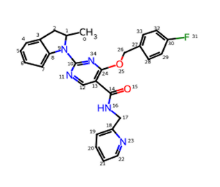 CC1Cc2ccccc2N1c1ncc(C(=O)NCc2ccccn2)c(OCc2ccc(F)cc2)n1